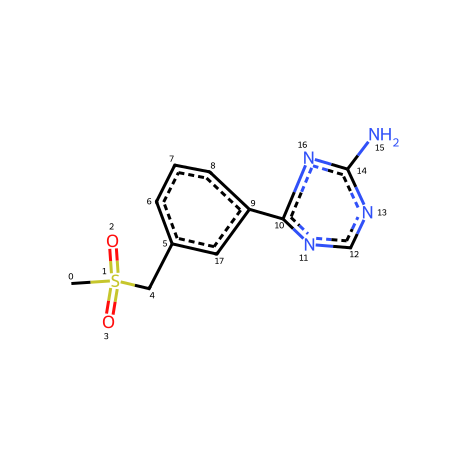 CS(=O)(=O)Cc1cccc(-c2ncnc(N)n2)c1